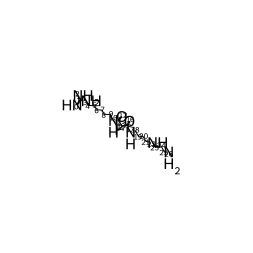 N=C(N)NCCCCCCNC(=O)C(F)C(=O)NCCCCNCCCN